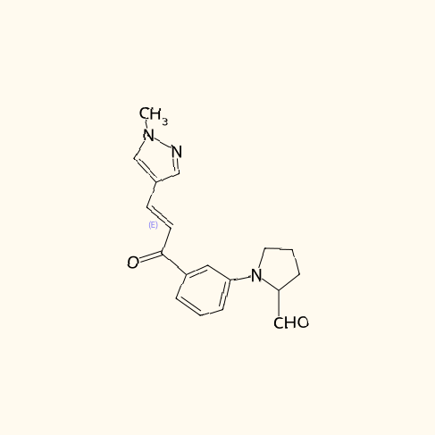 Cn1cc(/C=C/C(=O)c2cccc(N3CCCC3C=O)c2)cn1